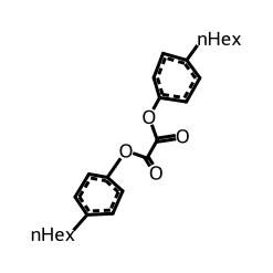 CCCCCCc1ccc(OC(=O)C(=O)Oc2ccc(CCCCCC)cc2)cc1